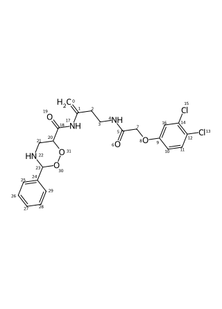 C=C(CCNC(=O)COc1ccc(Cl)c(Cl)c1)NC(=O)C1CNC(c2ccccc2)OO1